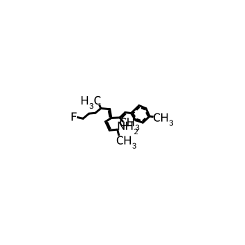 CC(=C\c1ccc(C)cc1)/C(/C=C\C(C)N)=C/C(C)CCCF